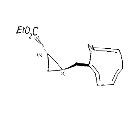 CCOC(=O)[C@H]1C[C@@H]1c1ccccn1